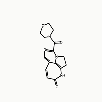 O=C1C=CC2=CN=C(C(=O)N3CCOCC3)N3CCC(=C23)N1